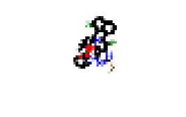 CSc1nc(N2CC3CCC(C3)C2)c2c(OC(C)C)nc(-c3cccc4ccc(F)c(C#C[Si](C(C)C)(C(C)C)C(C)C)c34)c(F)c2n1